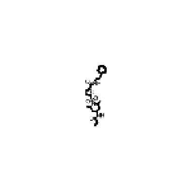 C=CC(=O)NC1CC(C)N(S(=O)(=O)c2ccc(C(=O)NCCc3ccccc3)o2)C(C)C1